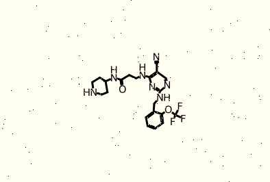 N#Cc1cnc(NCc2ccccc2OC(F)(F)F)nc1NCCC(=O)NC1CCNCC1